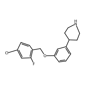 Fc1cc(Cl)ccc1COc1cccc(C2CCNCC2)c1